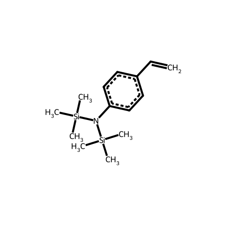 C=Cc1ccc(N([Si](C)(C)C)[Si](C)(C)C)cc1